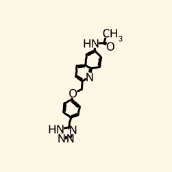 CC(=O)Nc1ccc2nc(COc3ccc(-c4nnn[nH]4)cc3)ccc2c1